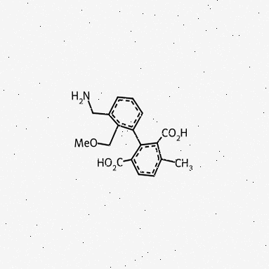 COCc1c(CN)cccc1-c1c(C(=O)O)ccc(C)c1C(=O)O